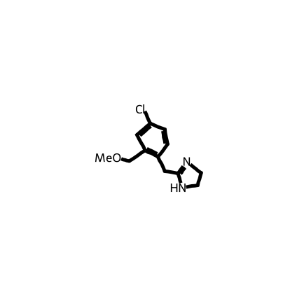 COCc1cc(Cl)ccc1CC1=NCCN1